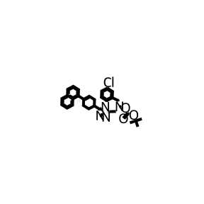 CC(C)(C)OC(=O)ON1Cc2cc(Cl)ccc2-n2c(nnc2C2CC=C(c3cccc4ccccc34)CC2)C1